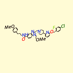 COCCn1c(CN2CCC(c3cccc(OCc4ccc(Cl)cc4F)n3)CC2)nc2cc(C(=O)NCCCc3ccc(OC)cc3)ccc21